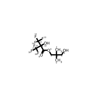 CC(C)(CO)COC(=O)C(O)(C(F)(F)F)C(F)(F)F